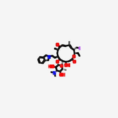 CC[C@H]1OC(=O)C[C@@H](O)[C@H](C)[C@@H](O[C@@H]2O[C@H](C)[C@@H](O)[C@H](N(C)C)[C@H]2O)[C@@H](CCN2Cc3ccccc3C2)C[C@@H](C)C(=O)/C=C/C(C)=C/[C@@H]1CI